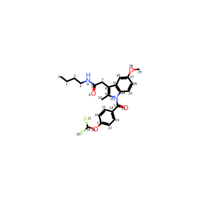 CCCCNC(=O)Cc1c(C)n(C(=O)c2ccc(OC(F)F)cc2)c2ccc(OC)cc12